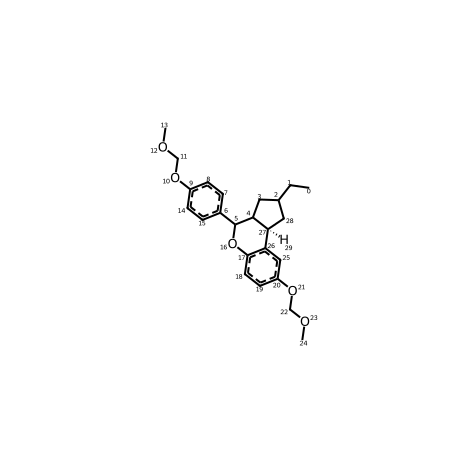 CCC1CC2C(c3ccc(OCOC)cc3)Oc3ccc(OCOC)cc3[C@@H]2C1